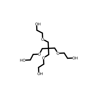 OCCOCC(COCCO)(COCCO)COCCO